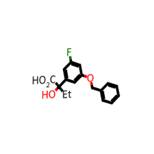 CCC(O)(C(=O)O)c1cc(F)cc(OCc2ccccc2)c1